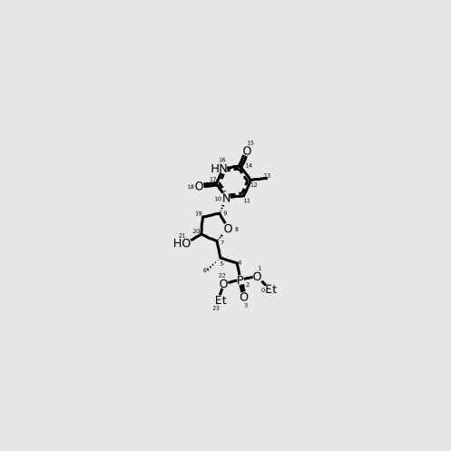 CCOP(=O)(C[C@H](C)[C@H]1O[C@@H](n2cc(C)c(=O)[nH]c2=O)CC1O)OCC